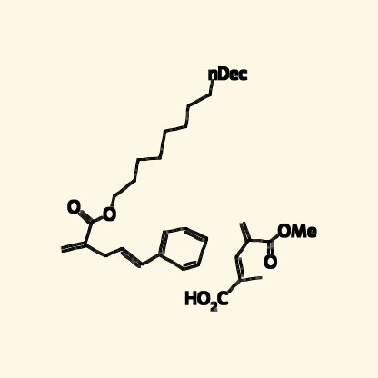 C=C(C=C(C)C(=O)O)C(=O)OC.C=C(CC=Cc1ccccc1)C(=O)OCCCCCCCCCCCCCCCCCC